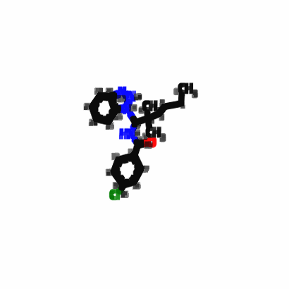 CCCCC(C)(C)C(NC(=O)c1ccc(Cl)cc1)n1nnc2ccccc21